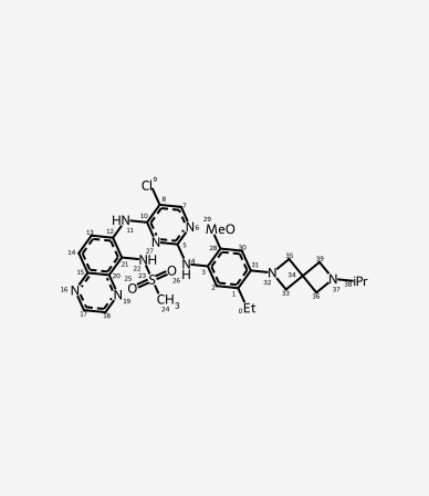 CCc1cc(Nc2ncc(Cl)c(Nc3ccc4nccnc4c3NS(C)(=O)=O)n2)c(OC)cc1N1CC2(C1)CN(C(C)C)C2